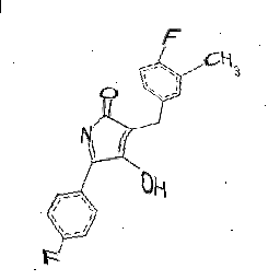 Cc1cc(CC2=C(O)C(c3ccc(F)cc3)=NC2=O)ccc1F